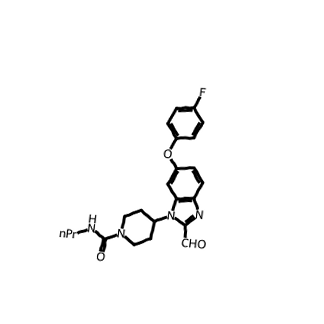 CCCNC(=O)N1CCC(n2c(C=O)nc3ccc(Oc4ccc(F)cc4)cc32)CC1